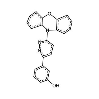 Oc1cccc(-c2ccc(N3c4ccccc4Oc4ccccc43)nn2)c1